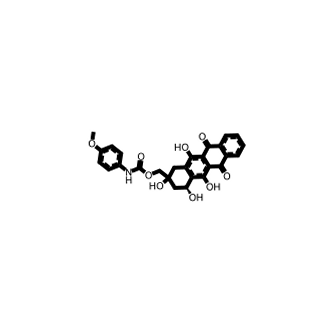 COc1ccc(NC(=O)OCC2(O)Cc3c(O)c4c(c(O)c3[C@@H](O)C2)C(=O)c2ccccc2C4=O)cc1